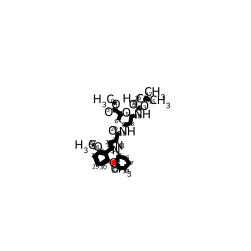 COC(=O)C(=O)C[C@H](CCNC(=O)OC(C)(C)C)NC(=O)c1cc(-c2c(OC)cccc2OC)n(C2CCCCC2)n1